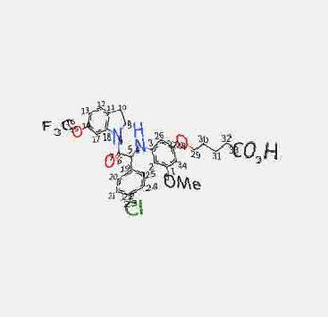 COc1cc(NC(C(=O)N2CCc3ccc(OC(F)(F)F)cc32)c2ccc(Cl)cc2)cc(OCCCCC(=O)O)c1